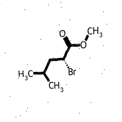 COC(=O)[C@H](Br)CC(C)C